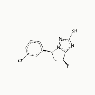 F[C@H]1C[C@@H](c2cccc(Cl)c2)n2nc(S)nc21